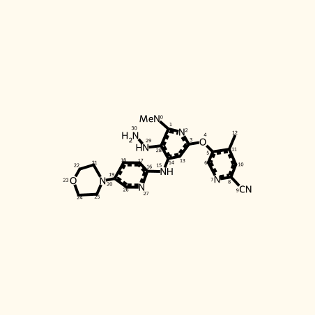 CNc1nc(Oc2cnc(C#N)cc2C)cc(Nc2ccc(N3CCOCC3)cn2)c1NN